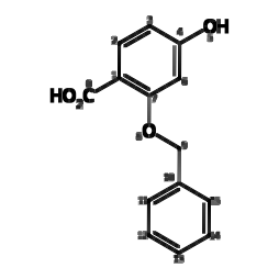 O=C(O)c1ccc(O)cc1OCc1ccccc1